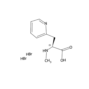 Br.Br.CN[C@@H](Cc1ccccn1)C(=O)O